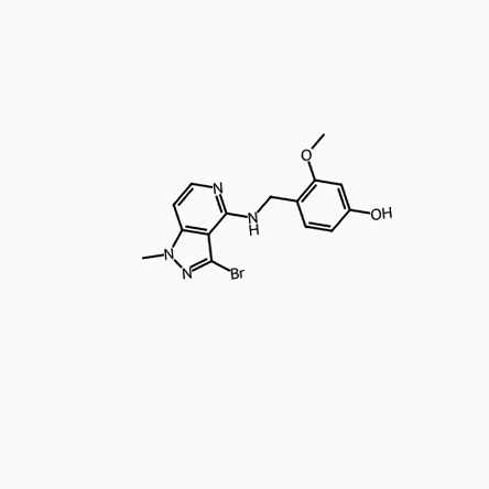 COc1cc(O)ccc1CNc1nccc2c1c(Br)nn2C